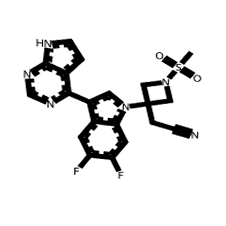 CS(=O)(=O)N1CC(CC#N)(n2cc(-c3ncnc4[nH]ccc34)c3cc(F)c(F)cc32)C1